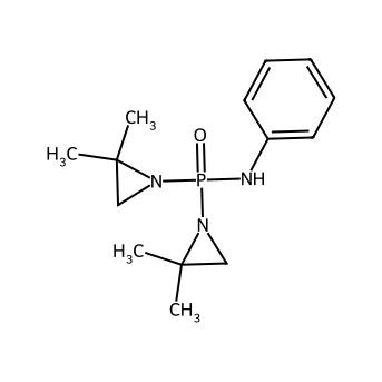 CC1(C)CN1P(=O)(Nc1ccccc1)N1CC1(C)C